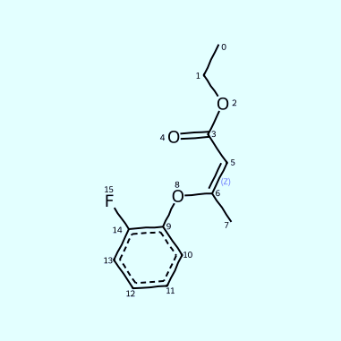 CCOC(=O)/C=C(/C)Oc1ccccc1F